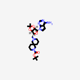 CC(C)(C)OC(=O)N1CCCC2(CCCN(C[C@H]3O[C@@H](n4ccc5c(N)ncnc54)[C@@H]4OC(C)(C)O[C@@H]43)C2)C1